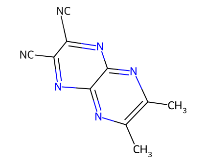 [C-]#[N+]c1nc2nc(C)c(C)nc2nc1C#N